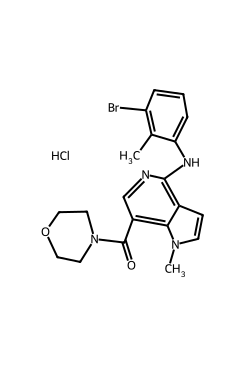 Cc1c(Br)cccc1Nc1ncc(C(=O)N2CCOCC2)c2c1ccn2C.Cl